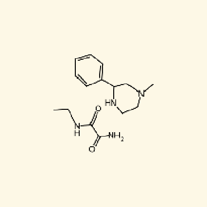 CCNC(=O)C(N)=O.CN1CCNC(c2ccccc2)C1